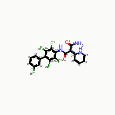 NC(=O)/C(C(=O)Nc1c(F)c(F)c(-c2cccc(F)c2)c(F)c1F)=C1/C=CC=CN1